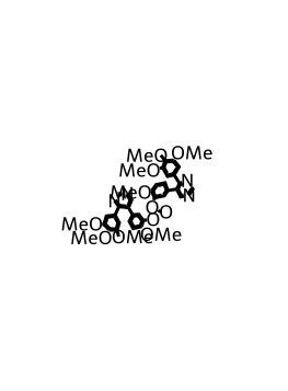 COc1ccc(-c2cncnc2-c2cc(OC)c(OC)c(OC)c2)cc1OC(=O)Oc1cc(-c2cncnc2-c2cc(OC)c(OC)c(OC)c2)ccc1OC